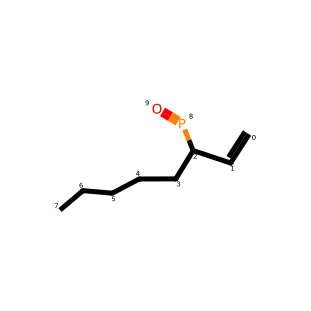 C=CC(CCCCC)P=O